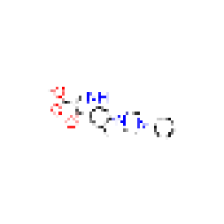 COC(=O)c1c[nH]c2cc(N3CCN(c4ccccc4)CC3)c(C)cc2c1=O